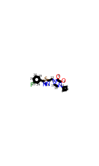 O=c1c(=O)n(C23CC(C2)C3)ccn1Cc1nnc(-c2cccc(F)c2)s1